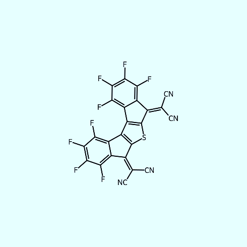 N#CC(C#N)=C1c2sc3c(c2-c2c(F)c(F)c(F)c(F)c21)-c1c(F)c(F)c(F)c(F)c1C3=C(C#N)C#N